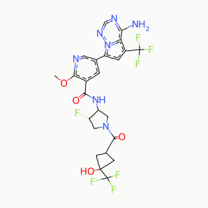 COc1ncc(-c2cc(C(F)(F)F)c3c(N)ncnn23)cc1C(=O)NC1CN(C(=O)C2CC(O)(C(F)(F)F)C2)C[C@@H]1F